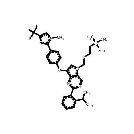 CC(C)c1ccccc1-c1ncc2c(n1)c(Oc1ccc(-c3nc(C(F)(F)F)cn3C)cc1)cn2COCC[Si](C)(C)C